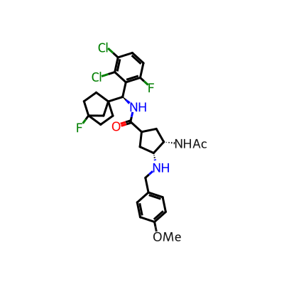 COc1ccc(CN[C@@H]2CC(C(=O)N[C@H](c3c(F)ccc(Cl)c3Cl)C34CCC(F)(CC3)C4)C[C@@H]2NC(C)=O)cc1